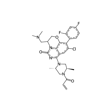 C=CC(=O)N1C[C@H](C)N(c2nc(=O)n3c4c(c(-c5ccc(F)cc5F)c(Cl)cc24)OCC3CN(C)C)C[C@H]1C